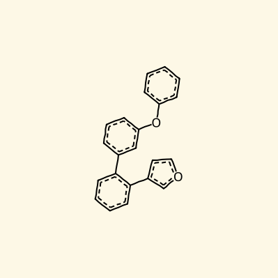 c1ccc(Oc2cccc(-c3ccccc3-c3ccoc3)c2)cc1